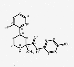 CC(C)(C)c1ccc(NC(=O)[C@@]2(C)CN(c3ncccc3F)CCN2)cc1